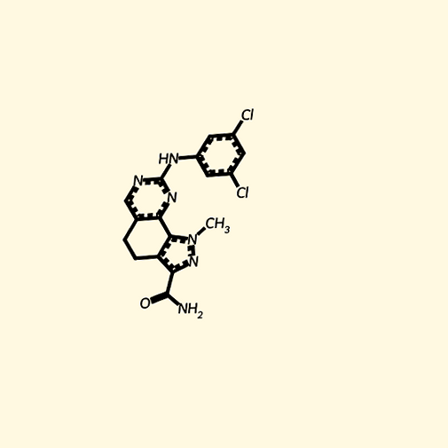 Cn1nc(C(N)=O)c2c1-c1nc(Nc3cc(Cl)cc(Cl)c3)ncc1CC2